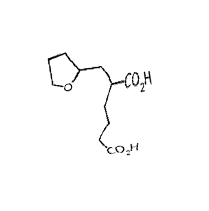 O=C(O)CCCC(CC1CCCO1)C(=O)O